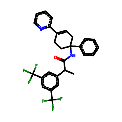 CC(C(=O)NC1(c2ccccc2)CC=C(c2ccccn2)CC1)c1cc(C(F)(F)F)cc(C(F)(F)F)c1